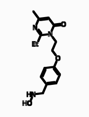 CCc1nc(C)cc(=O)n1CCOc1ccc(CNO)cc1